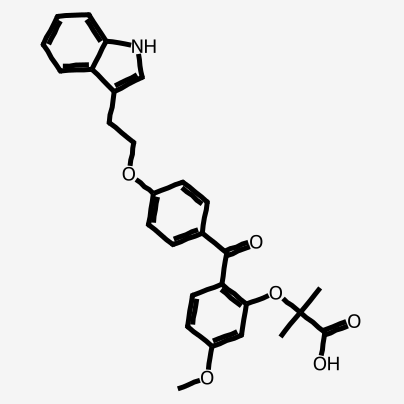 COc1ccc(C(=O)c2ccc(OCCc3c[nH]c4ccccc34)cc2)c(OC(C)(C)C(=O)O)c1